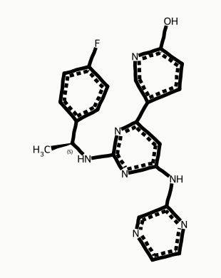 C[C@H](Nc1nc(Nc2cnccn2)cc(-c2ccc(O)nc2)n1)c1ccc(F)cc1